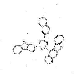 c1ccc2cc(-c3nc(-c4ccc5c(c4)oc4ccccc45)nc(-c4c5ccccc5cc5oc6ccccc6c45)n3)ccc2c1